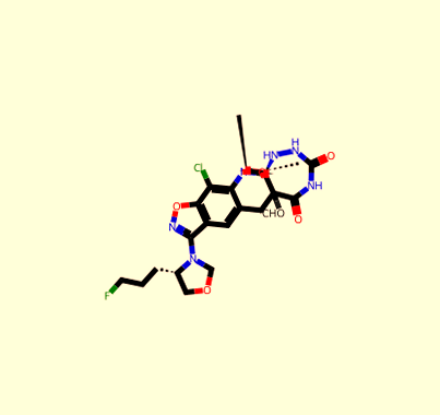 C[C@@H]1CN2c3c(cc4c(N5COC[C@@H]5CCCF)noc4c3Cl)CC3(C=O)C(=O)NC(=O)NN[C@]23[C@H](C)O1